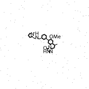 COc1cc2c(C)cc3n[nH]c(=O)n3c2cc1-c1cccc(CNCc2cccn2C)c1